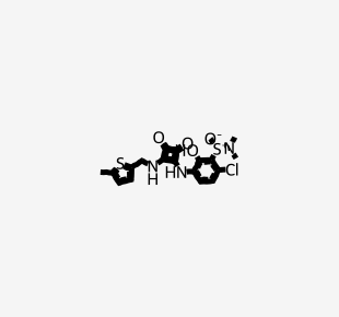 Cc1ccc(CNc2c(Nc3ccc(Cl)c([S+]([O-])N(C)C)c3O)c(=O)c2=O)s1